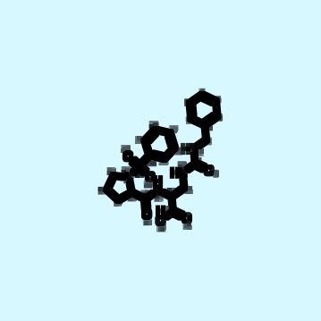 O=C(NCc1ccccc1)NCC(NC(=O)C1CCCN1S(=O)(=O)c1ccccc1)C(=O)O